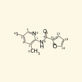 Cc1cc(I)cnc1NC(=O)c1ccco1